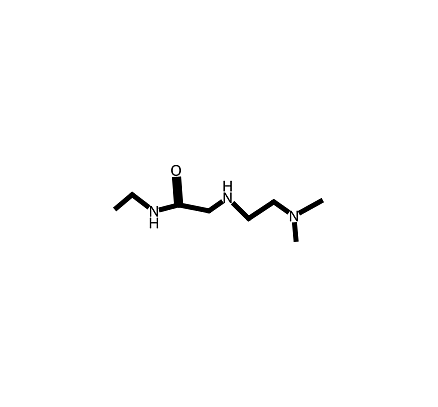 CCNC(=O)CNCCN(C)C